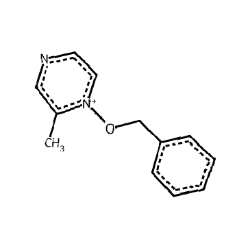 Cc1cncc[n+]1OCc1ccccc1